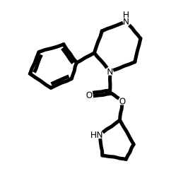 O=C(OC1CCCN1)N1CCNCC1c1ccccc1